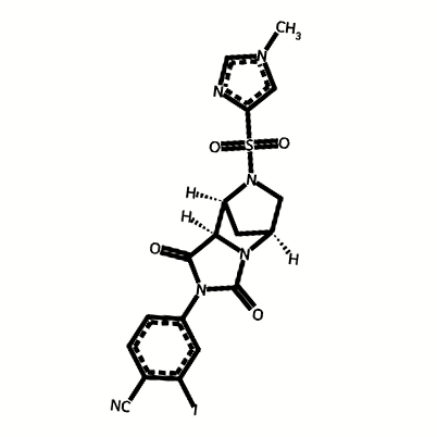 Cn1cnc(S(=O)(=O)N2C[C@@H]3C[C@H]2[C@@H]2C(=O)N(c4ccc(C#N)c(I)c4)C(=O)N32)c1